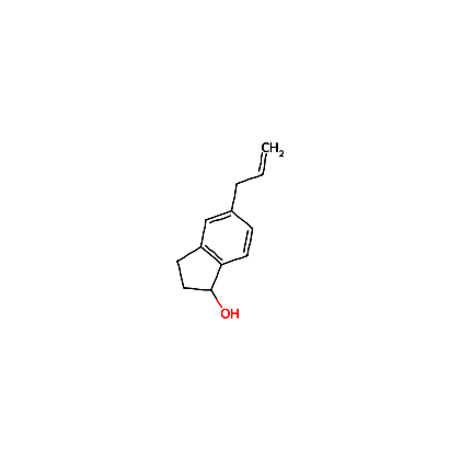 C=CCc1ccc2c(c1)CCC2O